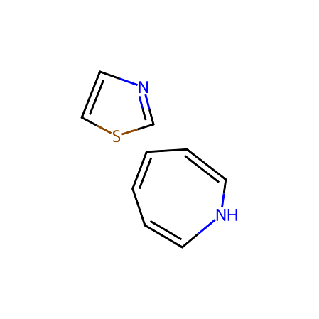 C1=CC=CNC=C1.c1cscn1